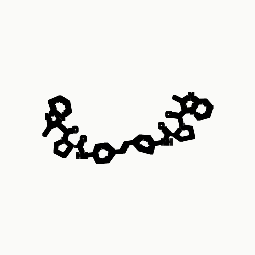 Cc1nc2ccccn2c1C(=O)N1CCC[C@H]1C(=O)Nc1ccc(/C=C/c2ccc(NC(=O)[C@@H]3CCCN3C(=O)c3c(C)nc4ccccn34)cc2)cc1